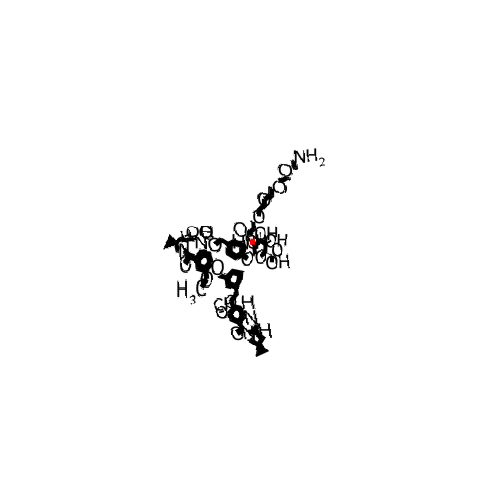 COc1cc2c(cc1OCc1cccc(COc3cc4c(cc3OC)C(=O)N3CC5(CC5)C[C@H]3[C@H](O)N4C(=O)OCc3ccc(O[C@H]4O[C@@H](C(=O)O)[C@H](O)[C@@H](O)[C@@H]4O)c(NC(=O)CCOCCOCCOCCOCCN)c3)c1)NC[C@@H]1CC3(CC3)CN1C2=O